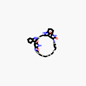 O=C1NC(=O)C2=C1c1c([nH]c3ccccc13)CCCc1[nH]c3ccccc3c1C1=C(C(=O)NC1=O)N1CCC(CCCCCCC3CCN2CC3)CC1